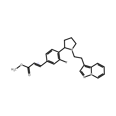 COC(=O)/C=C/c1ccc(C2CCCN2CCc2cnn3ccccc23)c(F)c1